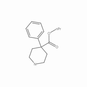 CCCOC(=O)C1(c2ccccc2)CC[N]CC1